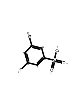 O=S(=O)(Cl)c1cc(F)cc(Br)c1